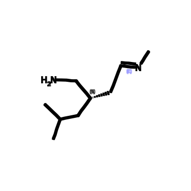 C/N=C/C[C@@H](CN)CC(C)C